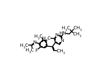 C/C=C(/c1cc(C)c(N=C(C)C)c(F)c1)c1cnc(NCC(C)(C)C)nc1C